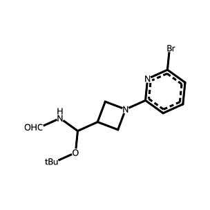 CC(C)(C)OC(NC=O)C1CN(c2cccc(Br)n2)C1